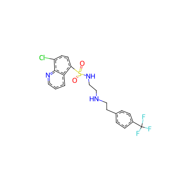 O=S(=O)(NCCNCCc1ccc(C(F)(F)F)cc1)c1ccc(Cl)c2ncccc12